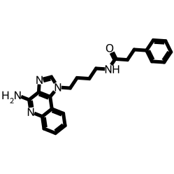 Nc1nc2ccccc2c2c1ncn2CCCCNC(=O)CCc1ccccc1